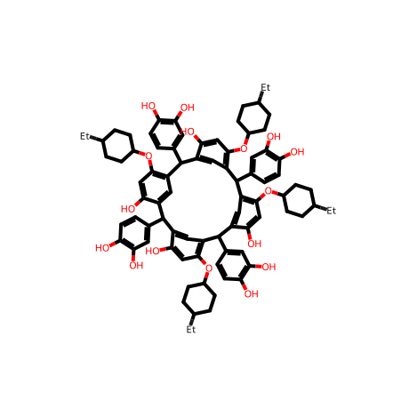 CCC1CCC(Oc2cc(O)c3cc2C(c2ccc(O)c(O)c2)c2cc(c(OC4CCC(CC)CC4)cc2O)C(c2ccc(O)c(O)c2)c2cc(c(O)cc2OC2CCC(CC)CC2)C(c2ccc(O)c(O)c2)c2cc(c(O)cc2OC2CCC(CC)CC2)C3c2ccc(O)c(O)c2)CC1